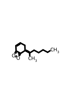 CCCCCC(C)=C1CC=Cc2ooc21